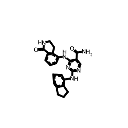 NC(=O)c1cnc(Nc2cccc3c2CCC3)nc1Nc1cccc2c1CCNC2=O